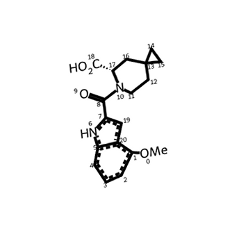 COc1cccc2[nH]c(C(=O)N3CCC4(CC4)C[C@H]3C(=O)O)cc12